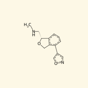 CNC[C@H]1OCc2c(-c3cnoc3)cccc21